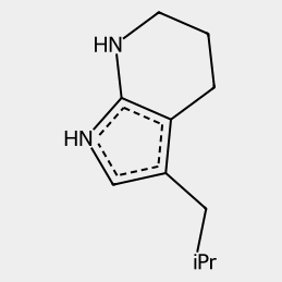 CC(C)Cc1c[nH]c2c1CCCN2